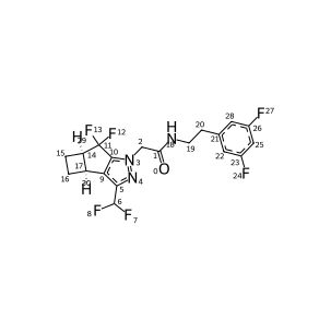 O=C(Cn1nc(C(F)F)c2c1C(F)(F)[C@@H]1CC[C@H]21)NCCc1cc(F)cc(F)c1